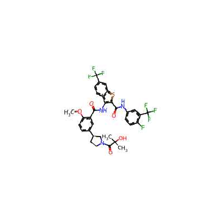 COc1ccc(C2CCN(C(=O)C(C)(C)O)C2)cc1C(=O)Nc1c(C(=O)Nc2ccc(F)c(C(F)(F)F)c2)sc2cc(C(F)(F)F)ccc12